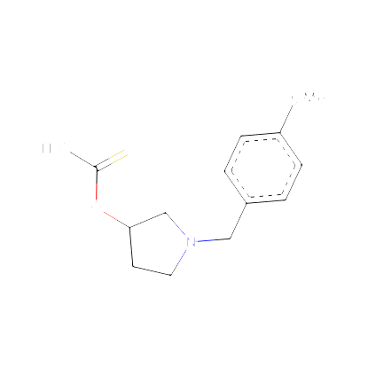 COc1ccc(CN2CCC(OC(C)=S)C2)cc1